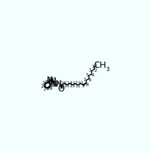 CCCCCCCC/C=C\CCCCCCCC(=O)N=Cn1nnc2ccccc21